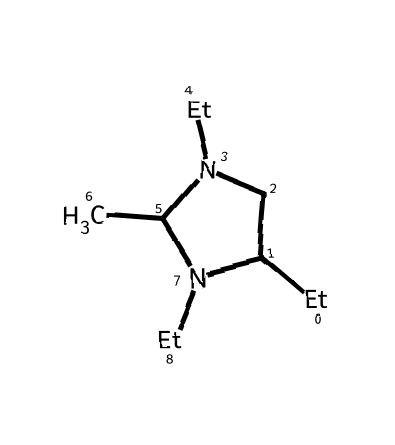 CCC1CN(CC)C(C)N1CC